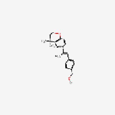 CCOCc1ccc(C=C(C)c2ccc3c(c2)C(C)(C)CCO3)cc1